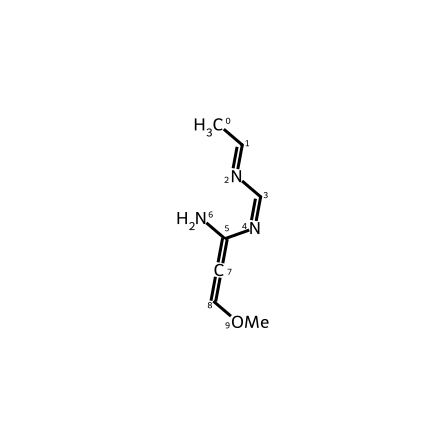 C/C=N/C=N\C(N)=C=COC